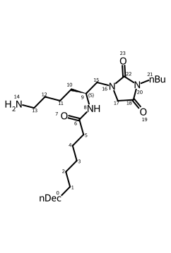 CCCCCCCCCCCCCCCC(=O)N[C@@H](CCCCN)CN1CC(=O)N(CCCC)C1=O